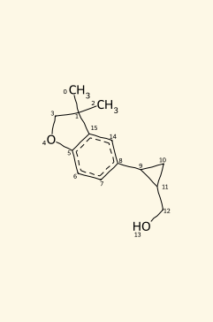 CC1(C)COc2ccc(C3CC3CO)cc21